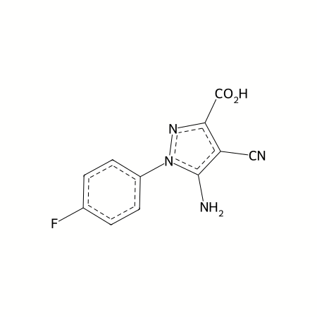 N#Cc1c(C(=O)O)nn(-c2ccc(F)cc2)c1N